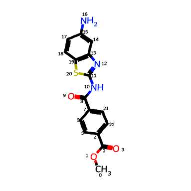 COC(=O)c1ccc(C(=O)Nc2nc3cc(N)ccc3s2)cc1